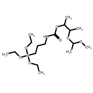 CCO[Si](CCCNC(=O)OC(C)C(C)OC(C)OC)(OCC)OCC